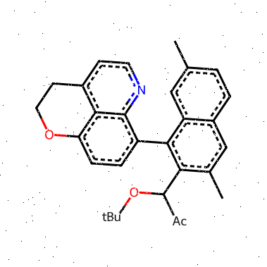 CC(=O)C(OC(C)(C)C)c1c(C)cc2ccc(C)cc2c1-c1ccc2c3c(ccnc13)CCO2